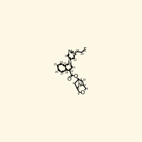 O=C(OC1CC2COCC(C1)N2)c1cn(-c2cnn(CCF)c2)c2ccccc12